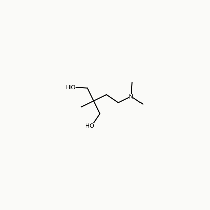 CN(C)CCC(C)(CO)CO